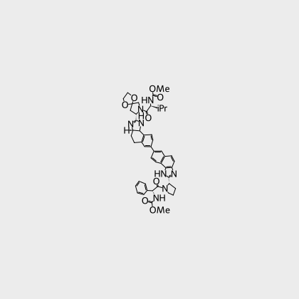 COC(=O)N[C@H](C(=O)N1CC2(C[C@H]1C1=N[C@H]3CCc4cc(-c5ccc6c(ccc7nc([C@@H]8CCCN8C(=O)[C@H](NC(=O)OC)c8ccccc8)[nH]c76)c5)ccc4C3N1)OCCO2)C(C)C